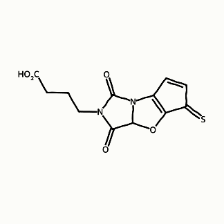 O=C(O)CCCN1C(=O)C2OC3=C(C=CC3=S)N2C1=O